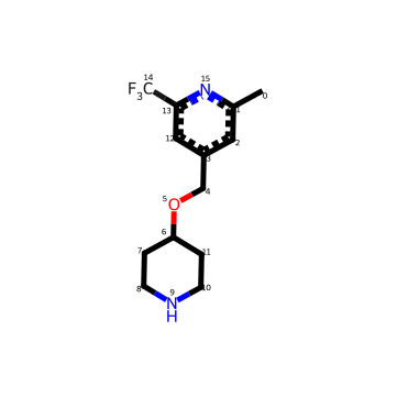 Cc1cc(COC2CCNCC2)cc(C(F)(F)F)n1